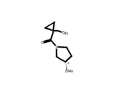 CO[C@H]1CCN(C(=O)C2(O)CC2)C1